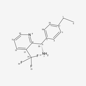 CCc1ccc([C@H](N)c2ncccc2C(F)(F)F)cc1